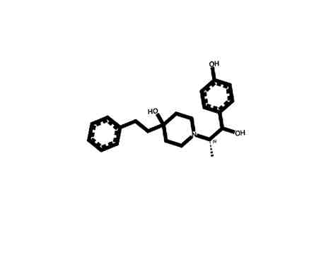 C[C@@H](C(O)c1ccc(O)cc1)N1CCC(O)(CCc2ccccc2)CC1